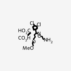 COCCOCCCC(=NOCCN)c1ccc(Cl)c(Cl)c1.O=C(O)C=CC(=O)O